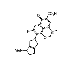 CNC1CCC2=C1CN(c1c(F)cc3c(=O)c(C(=O)O)cn4c3c1OC[C@@H]4C)C2